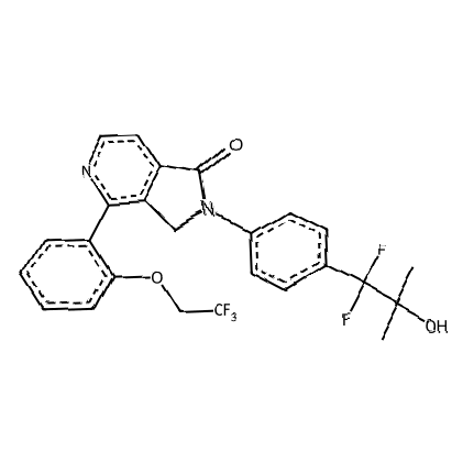 CC(C)(O)C(F)(F)c1ccc(N2Cc3c(ccnc3-c3ccccc3OCC(F)(F)F)C2=O)cc1